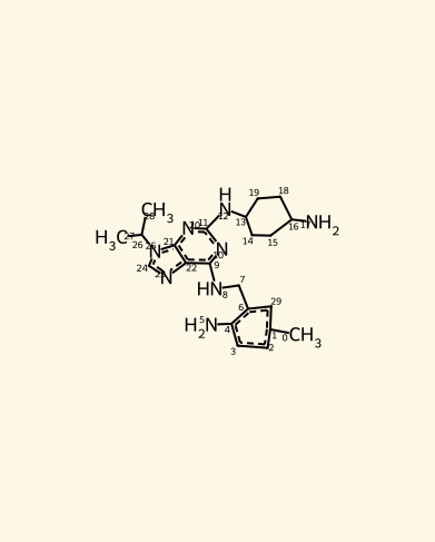 Cc1ccc(N)c(CNc2nc(NC3CCC(N)CC3)nc3c2ncn3C(C)C)c1